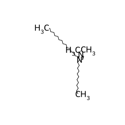 CCCCCCCCCCCCCCCC1N(CCCCCCCCCCCC)C=CN1C(C)C